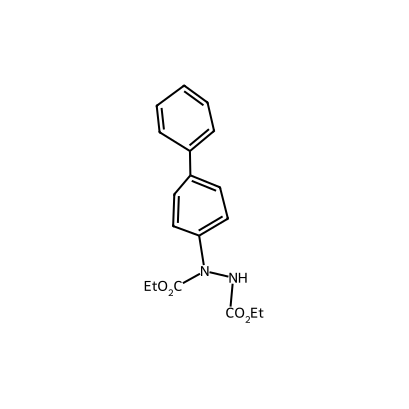 CCOC(=O)NN(C(=O)OCC)c1ccc(-c2ccccc2)cc1